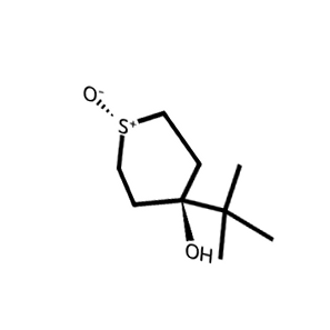 CC(C)(C)[C@]1(O)CC[S@+]([O-])CC1